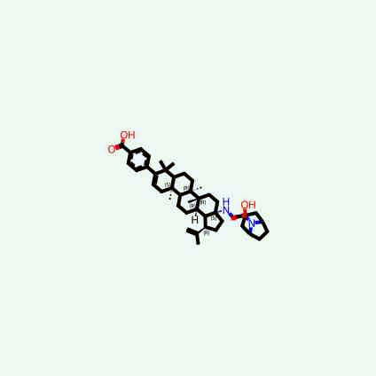 C=C(C)[C@@H]1CC[C@]2(NCCN3C4CCC3CC(C)(O)C4)CC[C@]3(C)[C@H](CCC4[C@@]5(C)CC=C(c6ccc(C(=O)O)cc6)C(C)(C)C5CC[C@]43C)C12